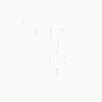 C=C.N#Cc1ccc(C(=O)N2CCC(=O)CC2)cc1F